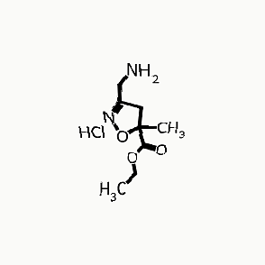 CCOC(=O)C1(C)CC(CN)=NO1.Cl